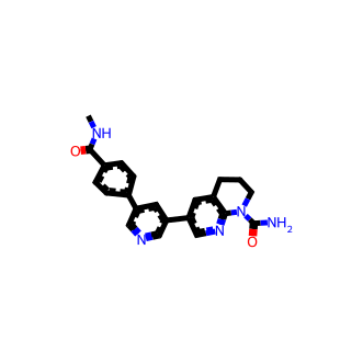 CNC(=O)c1ccc(-c2cncc(-c3cnc4c(c3)CCCN4C(N)=O)c2)cc1